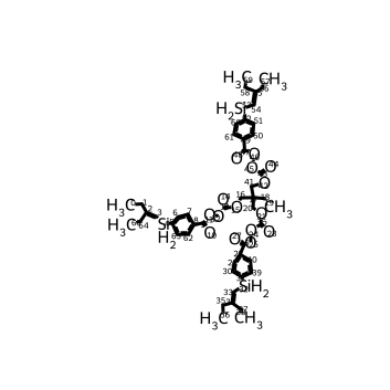 CCC(=C[SiH2]c1ccc(C(=O)OOC(=O)OCC(CC)(COC(=O)OOC(=O)c2ccc([SiH2]C=C(CC)CC)cc2)COC(=O)OOC(=O)c2ccc([SiH2]C=C(CC)CC)cc2)cc1)CC